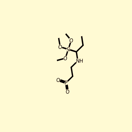 CCC(NCCP(=O)=O)[Si](OC)(OC)OC